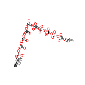 [Bi+3].[Bi+3].[Bi+3].[O]=[Nb](=[O])[O-].[O]=[Nb](=[O])[O-].[O]=[Nb](=[O])[O-].[O]=[Nb](=[O])[O-].[O]=[Nb](=[O])[O-].[O]=[Ti]([O-])[O-].[O]=[Ti]([O-])[O-].[O]=[Ti]([O-])[O-].[O]=[Ti]([O-])[O-].[O]=[Ti]([O-])[O-].[Sr+2].[Sr+2].[Sr+2]